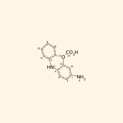 Nc1ccc(Nc2ccccc2)c(OC(=O)O)c1